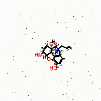 C=CCN1CC[C@]23c4c5ccc(O)c4O[C@H]2[C@@H](O)C=C[C@@]3(O)[C@H]1C5